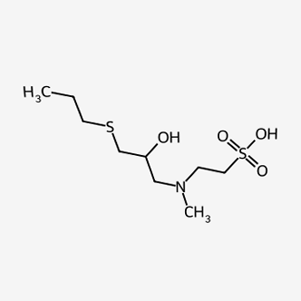 CCCSCC(O)CN(C)CCS(=O)(=O)O